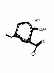 Cc1ccc(O)c(C(=O)[O-])c1.[K+]